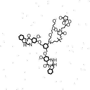 COCCOCCOCCN(CCCC(C)(C)SC1CC(=O)N(CCC(=O)ON2C(=O)CCC2=O)C1=O)c1cc(COc2cc3c(cc2OC)C(=O)N2c4ccccc4C[C@H]2C=N3)cc(COc2cc3c(cc2OC)C(=O)N2c4ccccc4C[C@H]2CN3)c1